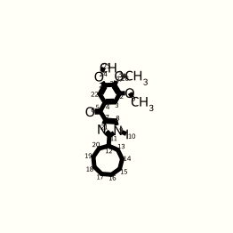 COc1cc(C(=O)c2cn(I)c(C3CCCCCCCC3)n2)cc(OC)c1OC